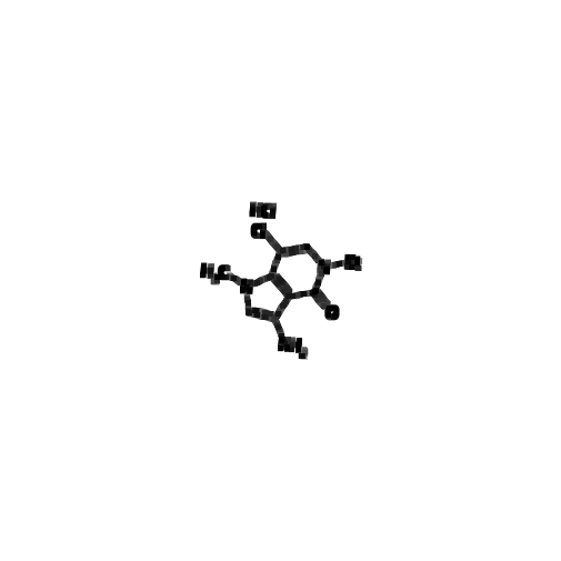 CCn1cc(Cl)c2c(c(N)cn2C)c1=O.Cl